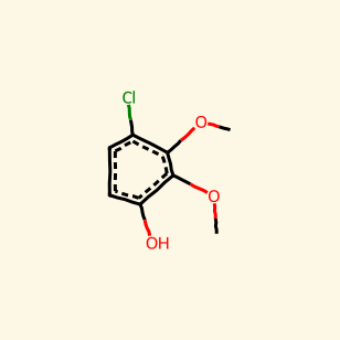 COc1c(O)ccc(Cl)c1OC